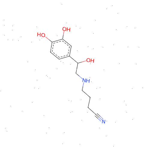 N#CCCCNCC(O)c1ccc(O)c(O)c1